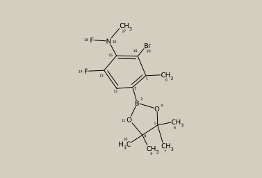 Cc1c(B2OC(C)(C)C(C)(C)O2)cc(F)c(N(C)F)c1Br